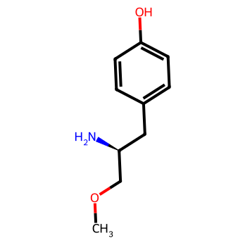 COC[C@@H](N)Cc1ccc(O)cc1